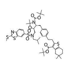 CSc1nc2ccc(S(=O)(=O)N(CC(C)C)C[C@H]3OC(C)(C)N(C(=O)OC(C)(C)C)[C@H]3Cc3ccc(CCc4sc5c(c4C(=O)OC(C)(C)C)CC(C)(C)CC5)cc3)cc2s1